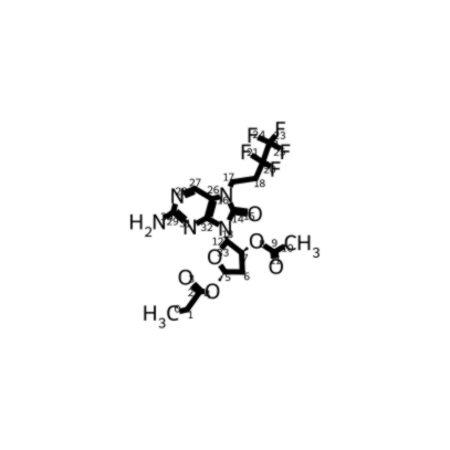 CCC(=O)O[C@H]1C[C@@H](OC(C)=O)[C@H](n2c(=O)n(CCC(F)(F)C(F)(F)F)c3cnc(N)nc32)O1